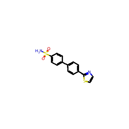 NS(=O)(=O)c1ccc(-c2ccc(-c3nccs3)cc2)cc1